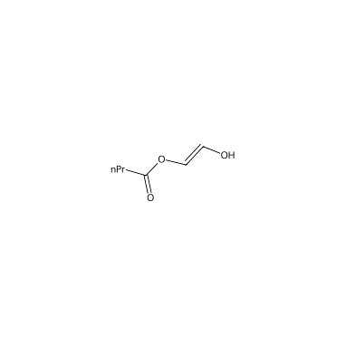 CCCC(=O)OC=CO